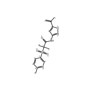 C=C(C)c1cc(NC(=O)C(C)(C)S(=O)(=O)c2ccc(C)nc2)no1